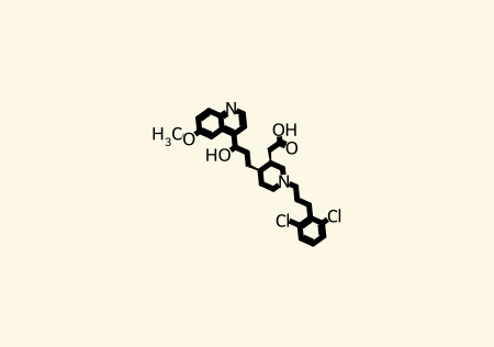 COc1ccc2nccc(C(O)CC[C@@H]3CCN(CCCc4c(Cl)cccc4Cl)C[C@@H]3CC(=O)O)c2c1